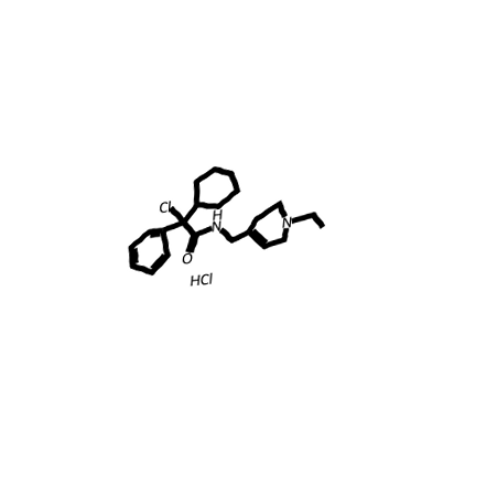 CCN1CC=C(CNC(=O)C(Cl)(c2ccccc2)C2CCCCC2)CC1.Cl